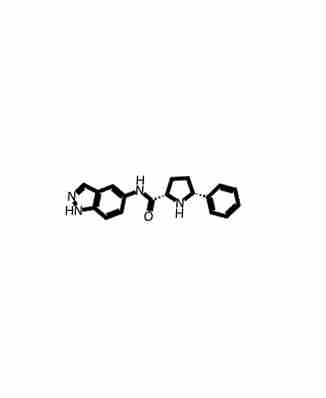 O=C(Nc1ccc2[nH]ncc2c1)[C@@H]1CC[C@H](c2ccccc2)N1